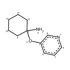 NC1(Oc2cccnc2)CCCCC1